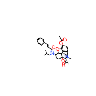 CC(=O)Oc1ccc2c3c1OC1C(N(CC(C)C)C(=O)/C=C/c4ccccc4)CC[C@@]4(O)[C@@H](C2)N(C)CC[C@]314